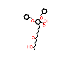 C[C@@H](O)CCCC(=O)CCCC=Cc1cc(OCc2ccccc2)cc(OCc2ccccc2)c1C(=O)O